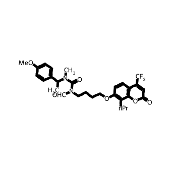 CCCc1c(OCCCCN(C=O)C(=O)N(C)C(C)c2ccc(OC)cc2)ccc2c(C(F)(F)F)cc(=O)oc12